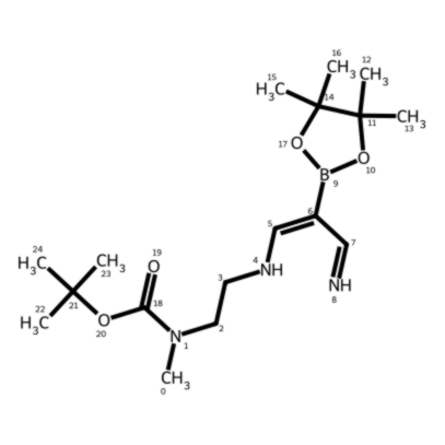 CN(CCN/C=C(\C=N)B1OC(C)(C)C(C)(C)O1)C(=O)OC(C)(C)C